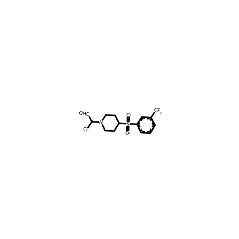 O=CC(Cl)N1CCC(S(=O)(=O)c2cccc(C(F)(F)F)c2)CC1